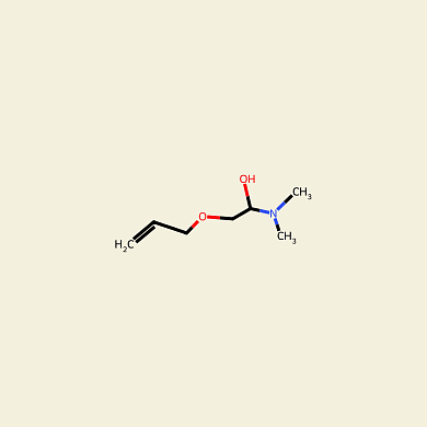 C=CCOCC(O)N(C)C